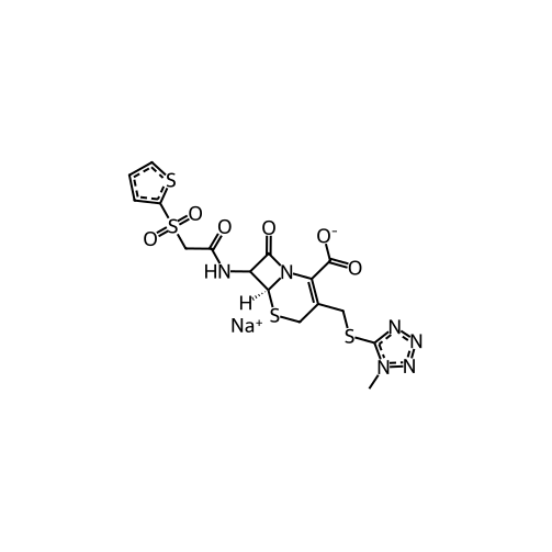 Cn1nnnc1SCC1=C(C(=O)[O-])N2C(=O)C(NC(=O)CS(=O)(=O)c3cccs3)[C@@H]2SC1.[Na+]